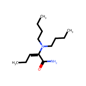 CC/C=C(\C(N)=O)N(CCCC)CCCC